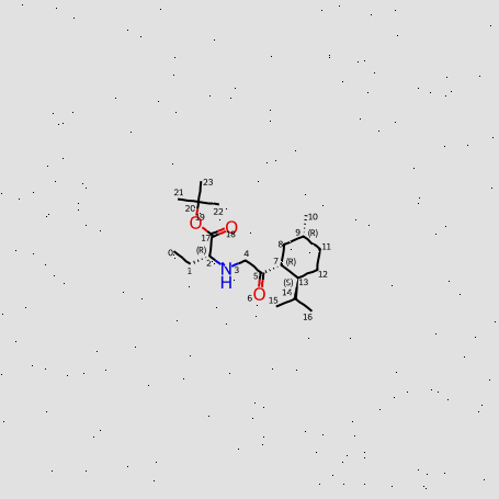 CC[C@@H](NCC(=O)[C@@H]1C[C@H](C)CC[C@H]1C(C)C)C(=O)OC(C)(C)C